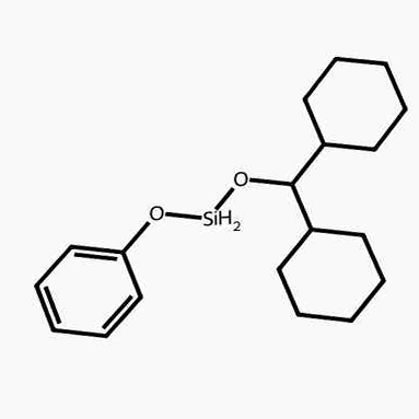 c1ccc(O[SiH2]OC(C2CCCCC2)C2CCCCC2)cc1